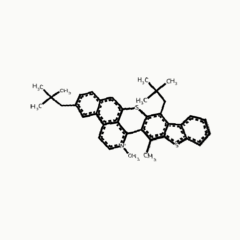 Cc1c2c(c(CC(C)(C)C)c3c1sc1ccccc13)Sc1cc3ccc(CC(C)(C)C)cc3c3cc[n+](C)c-2c13